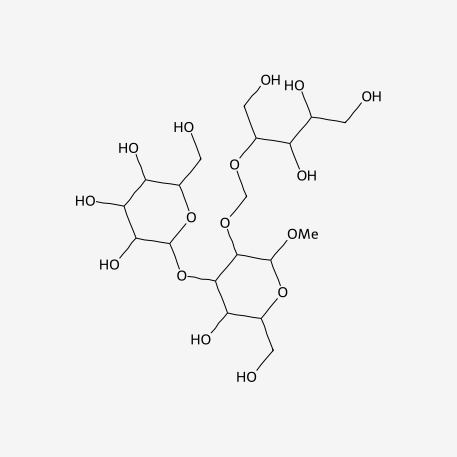 COC1OC(CO)C(O)C(OC2OC(CO)C(O)C(O)C2O)C1OCOC(CO)C(O)C(O)CO